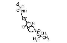 CC(C)(C)OC(=O)N1CCN2C(=O)N(C34CC(CNS(=O)(=O)C5CC5)(C3)C4)C[C@@H]2C1